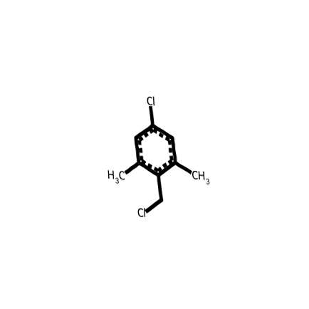 Cc1cc(Cl)cc(C)c1CCl